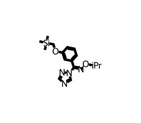 CC(C)O/N=C(\c1cccc(OC[Si](C)(C)C)c1)n1cncn1